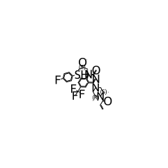 C=CC(=O)N1[C@H](C)CN(c2nc(=O)n3c4c(cc(C(F)(F)F)cc24)[SH](c2ccc(F)cc2)C[C@@H](OC)C3)C[C@@H]1C